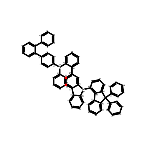 c1ccc(-c2ccccc2-c2ccc(N(c3ccccc3)c3ccccc3-c3ccc4c5ccccc5n(-c5cccc6c5-c5ccccc5C6(c5ccccc5)c5ccccc5)c4c3)cc2)cc1